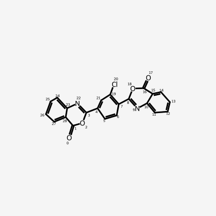 O=c1oc(-c2ccc(-c3nc4ccccc4c(=O)o3)c(Cl)c2)nc2ccccc12